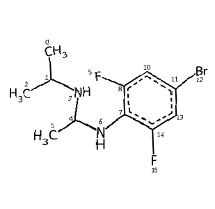 CC(C)NC(C)Nc1c(F)cc(Br)cc1F